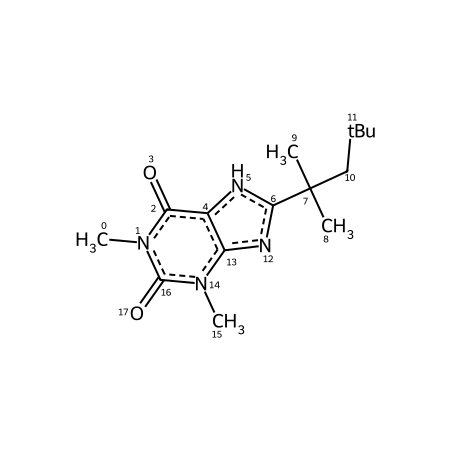 Cn1c(=O)c2[nH]c(C(C)(C)CC(C)(C)C)nc2n(C)c1=O